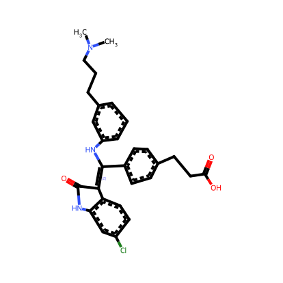 CN(C)CCCc1cccc(N/C(=C2\C(=O)Nc3cc(Cl)ccc32)c2ccc(CCC(=O)O)cc2)c1